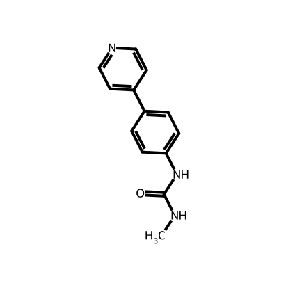 CNC(=O)Nc1ccc(-c2ccncc2)cc1